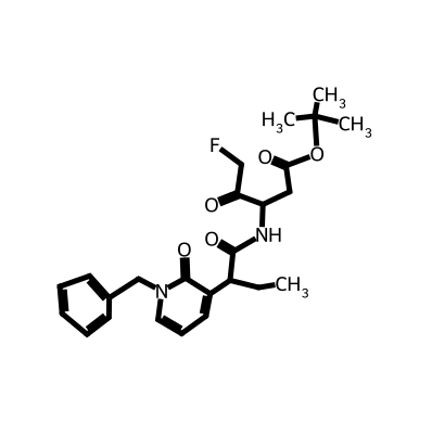 CCC(C(=O)NC(CC(=O)OC(C)(C)C)C(=O)CF)c1cccn(Cc2ccccc2)c1=O